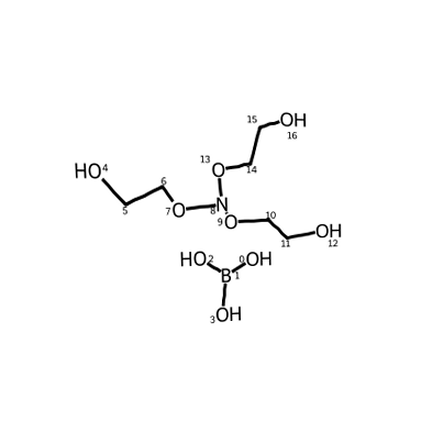 OB(O)O.OCCON(OCCO)OCCO